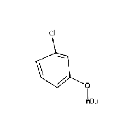 CCCCOc1cccc(Cl)c1